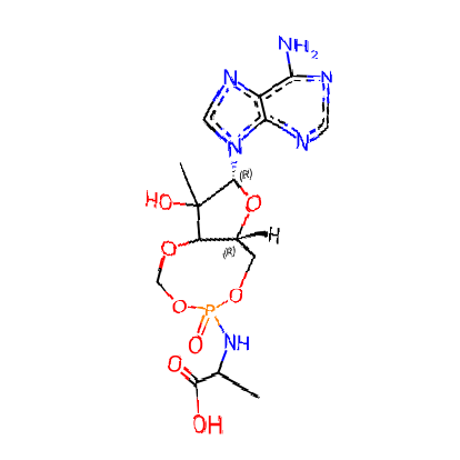 CC(NP1(=O)OCOC2[C@@H](CO1)O[C@@H](n1cnc3c(N)ncnc31)C2(C)O)C(=O)O